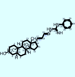 C[C@]12CC[C@H](O)C[C@H]1CC[C@@H]1[C@@H]2CC[C@]2(C)[C@@H](/C=C/C=N/NC(=N)Nc3ccccc3)CC[C@]12O